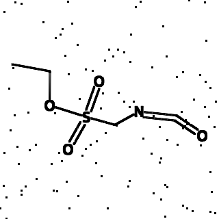 CCOS(=O)(=O)CN=C=O